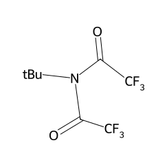 CC(C)(C)N(C(=O)C(F)(F)F)C(=O)C(F)(F)F